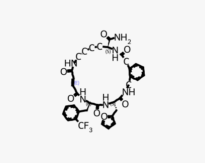 NC(=O)[C@@H]1CCCCNC(=O)/C=C/C(=O)N[C@H](Cc2ccccc2C(F)(F)F)C(=O)N[C@@H](Cc2ccco2)C(=O)NCc2ccccc2CC(=O)N1